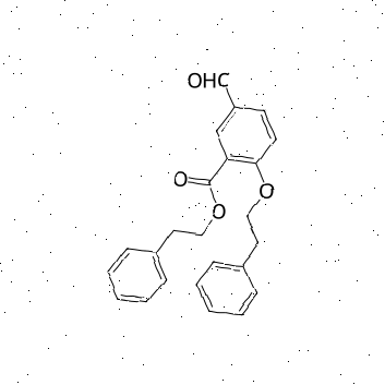 O=Cc1ccc(OCCc2ccccc2)c(C(=O)OCCc2ccccc2)c1